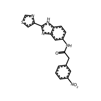 O=C(Cc1cccc([N+](=O)[O-])c1)Nc1ccc2[nH]c(-c3cscn3)nc2c1